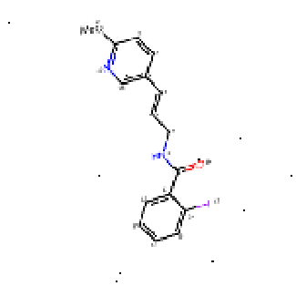 COc1ccc(C=CCNC(=O)c2ccccc2I)cn1